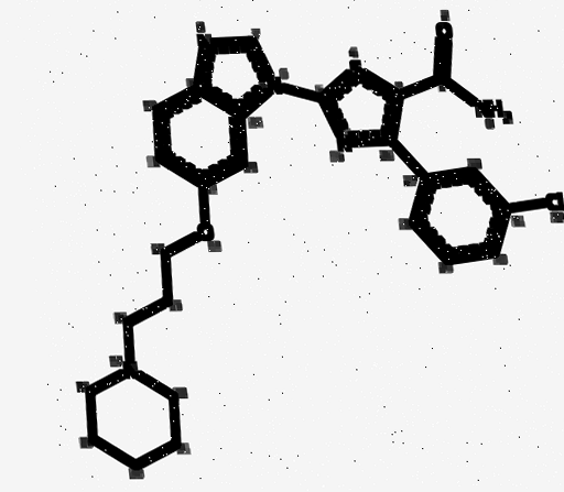 NC(=O)c1sc(-n2cnc3ccc(OCCCN4CCCCC4)cc32)nc1-c1cccc(Cl)c1